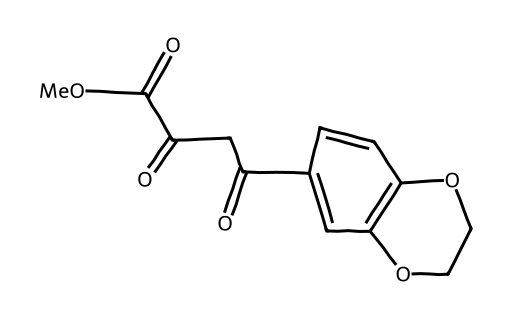 COC(=O)C(=O)CC(=O)c1ccc2c(c1)OCCO2